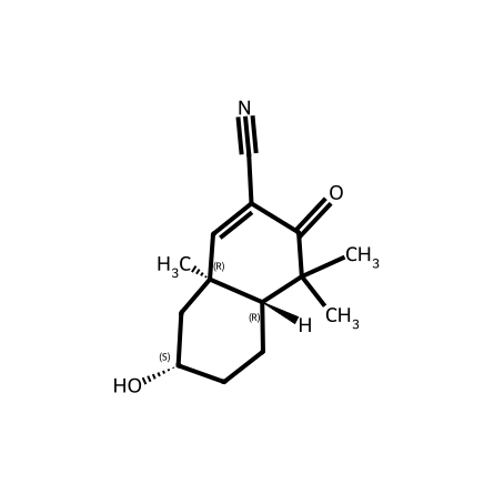 CC1(C)C(=O)C(C#N)=C[C@]2(C)C[C@@H](O)CC[C@@H]12